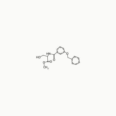 COC(=O)C(CO)NC(=O)c1cccc(OCc2ccccc2)c1